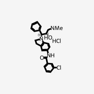 CNC[C@H](O)[C@H](c1ccccc1)N1CCc2cc(NC(=O)c3cccc(Cl)c3)ccc21.Cl